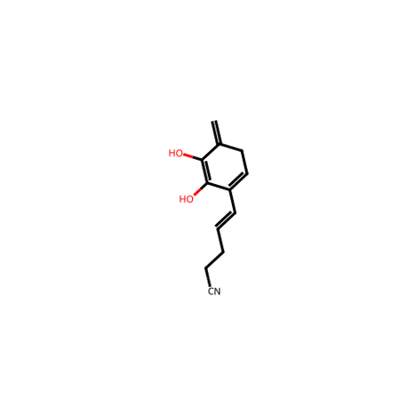 C=C1CC=C(C=CCCC#N)C(O)=C1O